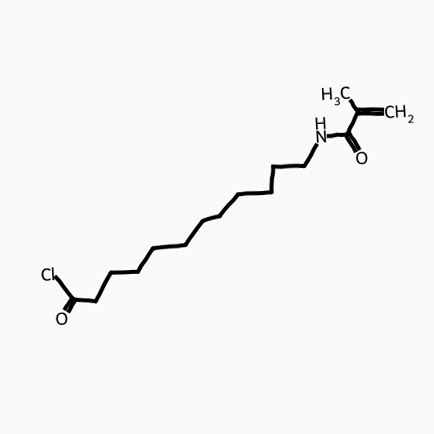 C=C(C)C(=O)NCCCCCCCCCCCC(=O)Cl